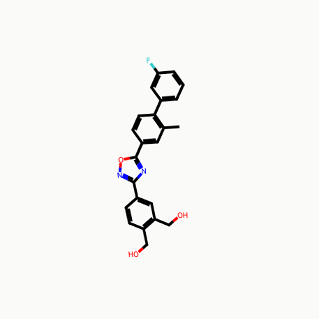 Cc1cc(-c2nc(-c3ccc(CO)c(CO)c3)no2)ccc1-c1cccc(F)c1